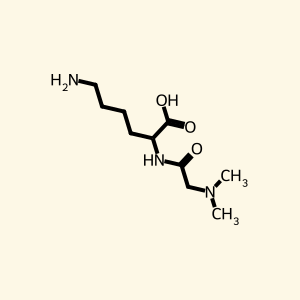 CN(C)CC(=O)NC(CCCCN)C(=O)O